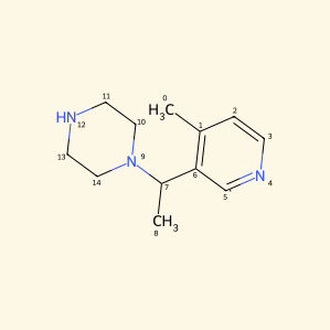 Cc1ccn[c]c1C(C)N1CCNCC1